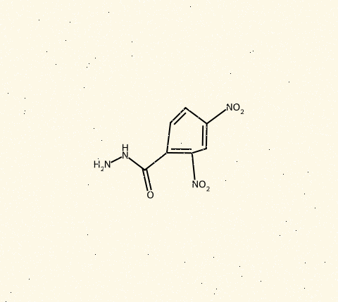 NNC(=O)c1ccc([N+](=O)[O-])cc1[N+](=O)[O-]